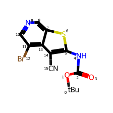 CC(C)(C)OC(=O)Nc1sc2cncc(Br)c2c1C#N